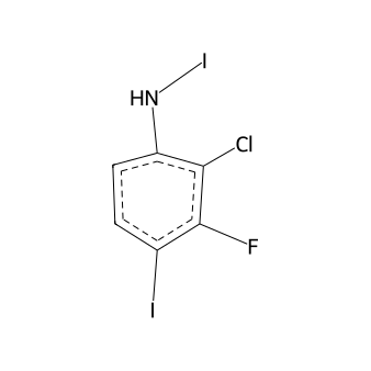 Fc1c(I)ccc(NI)c1Cl